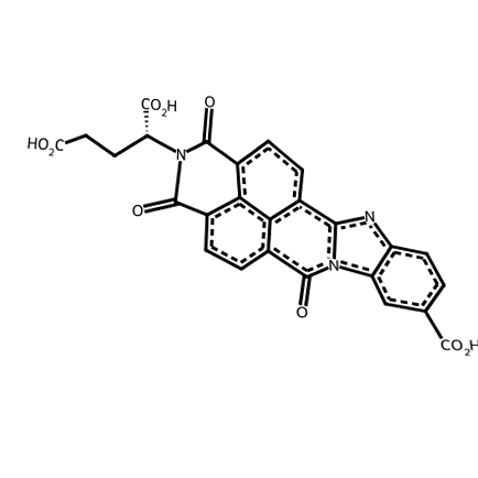 O=C(O)CC[C@H](C(=O)O)N1C(=O)c2ccc3c(=O)n4c5cc(C(=O)O)ccc5nc4c4ccc(c2c34)C1=O